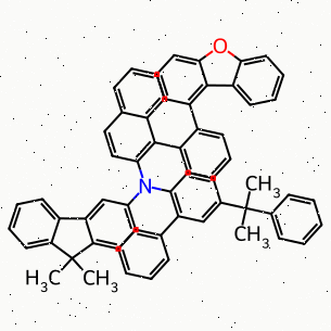 CC(C)(c1ccccc1)c1ccc(N(c2ccc3c(c2)-c2ccccc2C3(C)C)c2ccc3ccccc3c2-c2ccccc2-c2cccc3oc4ccccc4c23)c(-c2ccccc2)c1